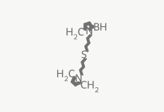 B=c1ccc(=C)n1CCCCCSCCCCCn1c(=C)ccc1=C